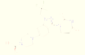 O=C1CCN(c2nn(CC(F)(F)F)c3cc(N4CCN(C(=O)O)CC4)ccc23)C(=O)N1